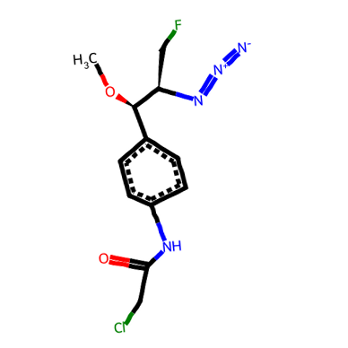 CO[C@H](c1ccc(NC(=O)CCl)cc1)[C@@H](CF)N=[N+]=[N-]